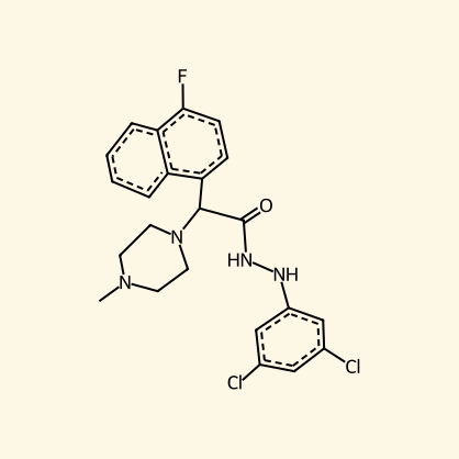 CN1CCN(C(C(=O)NNc2cc(Cl)cc(Cl)c2)c2ccc(F)c3ccccc23)CC1